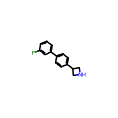 Fc1cccc(-c2ccc(C3CNC3)cc2)c1